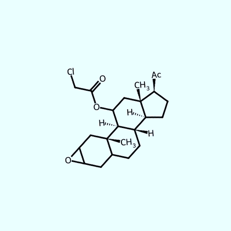 CC(=O)[C@H]1CC[C@H]2[C@@H]3CCC4CC5OC5C[C@]4(C)[C@H]3C(OC(=O)CCl)C[C@]12C